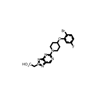 O=C(O)Cn1nc2cnc(N3CCC(Oc4cc(F)ccc4Br)CC3)nc2n1